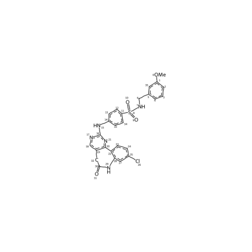 COc1cccc(CNS(=O)(=O)c2ccc(Nc3ncc4c(n3)-c3ccc(Cl)cc3NC(=O)C4)cc2)c1